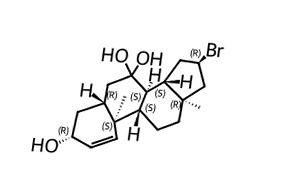 C[C@]12CC[C@H]3[C@H]([C@@H]1C[C@@H](Br)C2)C(O)(O)C[C@H]1C[C@@H](O)C=C[C@@]13C